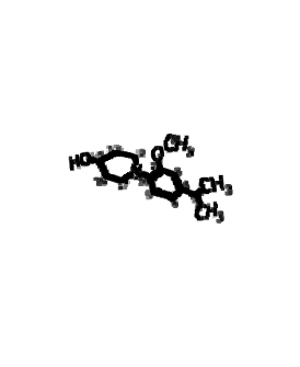 COc1cc(C(C)C)ccc1N1CCC(O)CC1